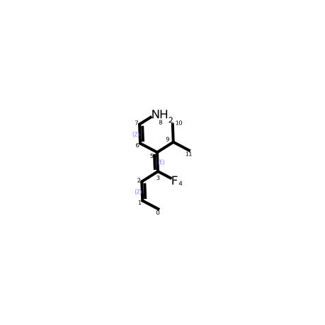 C\C=C/C(F)=C(\C=C/N)C(C)C